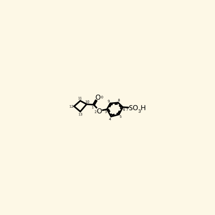 O=C(Oc1ccc(S(=O)(=O)O)cc1)C1CCC1